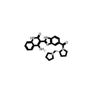 Nc1c(-c2nc3cc(C(=O)N4CCC[C@@H]4CN4CCCC4)ccc3[nH]2)c(=O)[nH]c2ccccc12